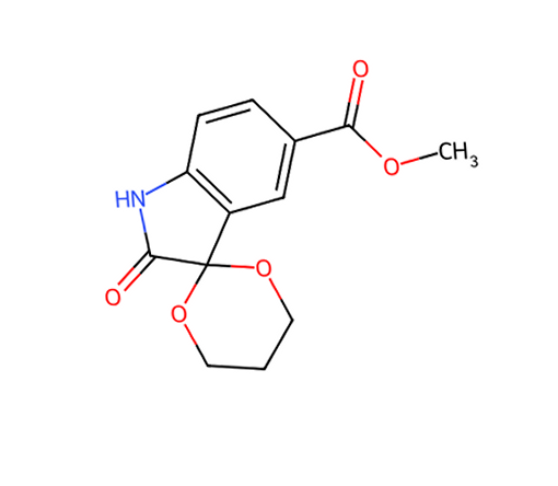 COC(=O)c1ccc2c(c1)C1(OCCCO1)C(=O)N2